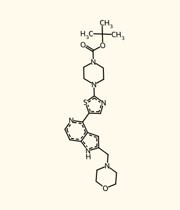 CC(C)(C)OC(=O)N1CCN(c2ncc(-c3nccc4[nH]c(CN5CCOCC5)cc34)s2)CC1